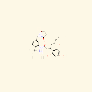 CCCCCC(CC(=O)Nc1cc(CN2C(=O)CCC2=O)ccc1C(C)(C)C)c1c(OC)cc(OC)cc1OC